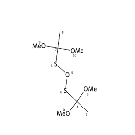 COC(C)(OC)SOSC(C)(OC)OC